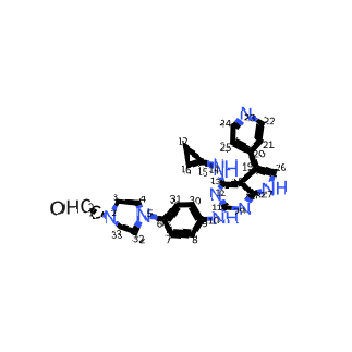 O=CCN1CCN(c2ccc(Nc3nc(NC4CC4)c4c(-c5ccncc5)c[nH]c4n3)cc2)CC1